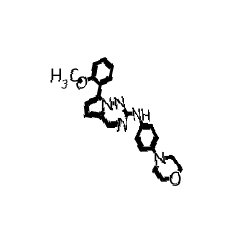 COc1ccccc1-c1ccc2cnc(Nc3ccc(N4CCOCC4)cc3)nn12